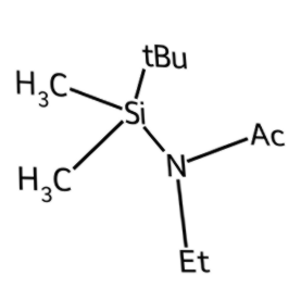 CCN(C(C)=O)[Si](C)(C)C(C)(C)C